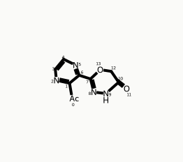 CC(=O)c1nccnc1C1=NNC(=O)CO1